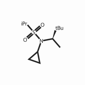 CC(C)S(=O)(=O)N(C1CC1)[C@H](C)C(C)(C)C